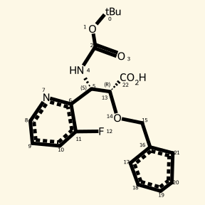 CC(C)(C)OC(=O)N[C@@H](c1ncccc1F)[C@@H](OCc1ccccc1)C(=O)O